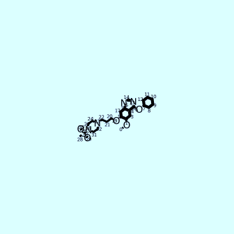 COc1cc2c(Oc3ccccc3)ncnc2cc1OCCCN1CCN(S(C)(=O)=O)CC1